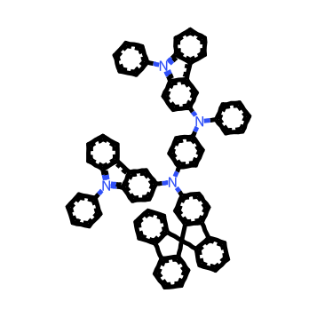 c1ccc(N(c2ccc(N(c3ccc4c(c3)C3(c5ccccc5-c5ccccc53)c3ccccc3-4)c3ccc4c(c3)c3ccccc3n4-c3ccccc3)cc2)c2ccc3c(c2)c2ccccc2n3-c2ccccc2)cc1